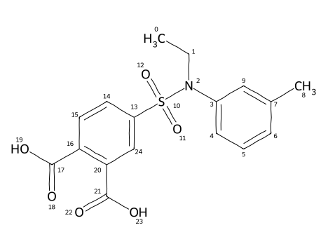 CCN(c1cccc(C)c1)S(=O)(=O)c1ccc(C(=O)O)c(C(=O)O)c1